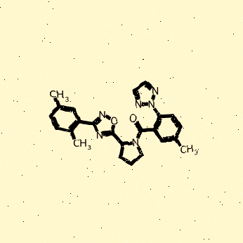 Cc1ccc(-n2nccn2)c(C(=O)N2CCCC2c2nc(-c3cc(C)ccc3C)no2)c1